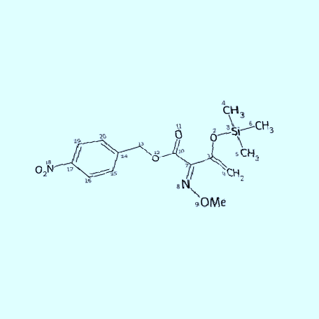 C=C(O[Si](C)(C)C)C(=NOC)C(=O)OCc1ccc([N+](=O)[O-])cc1